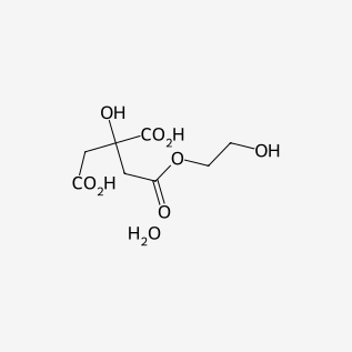 O.O=C(O)CC(O)(CC(=O)OCCO)C(=O)O